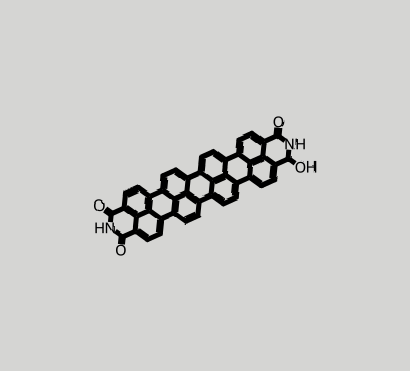 O=C1NC(=O)c2ccc3c4ccc5c6ccc7c8ccc9c%10c(ccc(c%11ccc(c%12ccc(c%13ccc1c2c%133)c4c%125)c6c%117)c%108)C(=O)NC9O